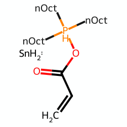 C=CC(=O)O[PH](CCCCCCCC)(CCCCCCCC)CCCCCCCC.[SnH2]